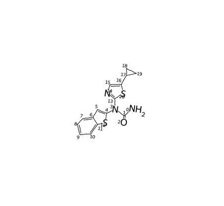 NC(=O)N(c1cc2ccccc2s1)c1ncc(C2CC2)s1